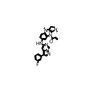 C=CC(=O)Nc1cc(Nc2cc3c(-c4cccc(F)c4)cnn3cn2)ccc1N(C)C1CCN(C)C1